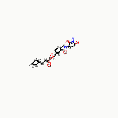 O=C1CCC(N2Cc3ccc(COC(=O)CCc4ccccc4)cc3C2=O)C(=O)N1